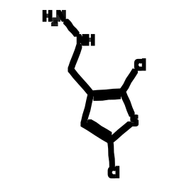 NNCc1cc(Cl)sc1Cl